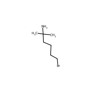 CC(C)(N)CCCCBr